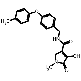 Cc1ccc(Oc2ccc(CNC(=O)C3=C(O)C(=O)N(C)C3)cc2)cc1